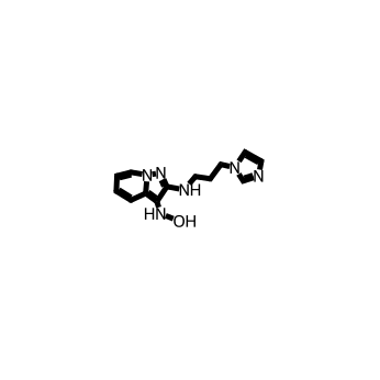 ONc1c(NCCCn2ccnc2)nn2ccccc12